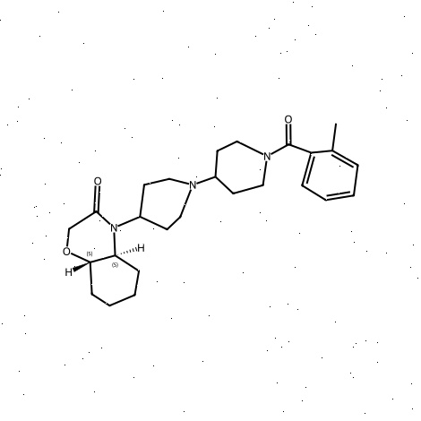 Cc1ccccc1C(=O)N1CCC(N2CCC(N3C(=O)CO[C@H]4CCCC[C@@H]43)CC2)CC1